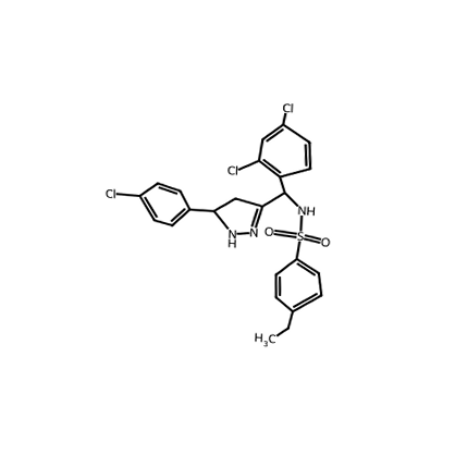 CCc1ccc(S(=O)(=O)NC(C2=NNC(c3ccc(Cl)cc3)C2)c2ccc(Cl)cc2Cl)cc1